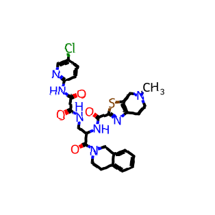 CN1CCc2nc(C(=O)NC(CNC(=O)C(=O)Nc3ccc(Cl)cn3)C(=O)N3CCc4ccccc4C3)sc2C1